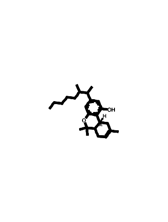 CCCCCC(C)C(C)c1cc(O)c2c(c1)OC(C)(C)C1CC=C(C)C[C@@H]21